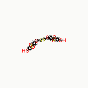 O=S(=O)(c1ccc(O)cc1)c1ccc(OCCSCSCCOc2ccc(S(=O)(=O)c3ccc(O)cc3)cc2)cc1